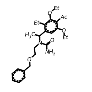 CCOc1cc(C(C)N(CCOCc2ccccc2)C(N)=O)c(CC)c(OCC)c1C(C)=O